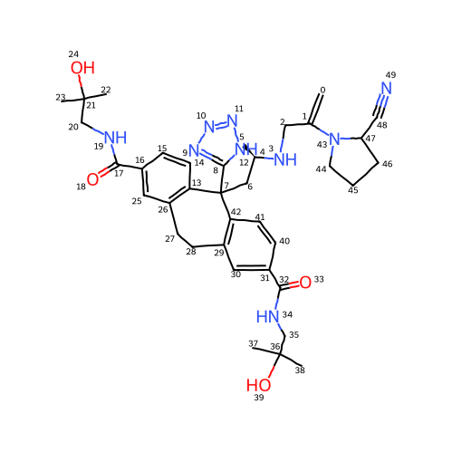 C=C(CN[C@H](C)CC1(c2nnn[nH]2)c2ccc(C(=O)NCC(C)(C)O)cc2CCc2cc(C(=O)NCC(C)(C)O)ccc21)N1CCCC1C#N